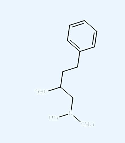 O=CC(CCc1ccccc1)CN(O)C=O